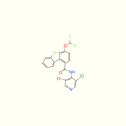 O=C(Nc1c(Cl)cncc1Cl)c1ccc(OC(F)F)c2sc3ccccc3c12